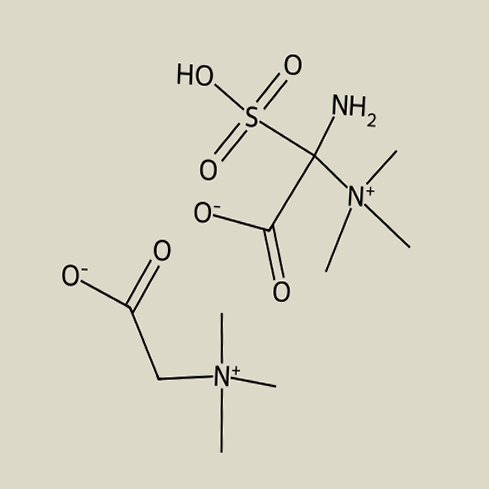 C[N+](C)(C)C(N)(C(=O)[O-])S(=O)(=O)O.C[N+](C)(C)CC(=O)[O-]